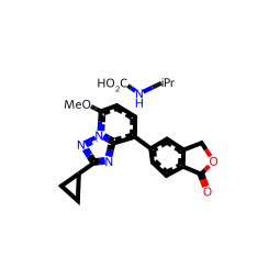 CC(C)NC(=O)O.COc1ccc(-c2ccc3c(c2)COC3=O)c2nc(C3CC3)nn12